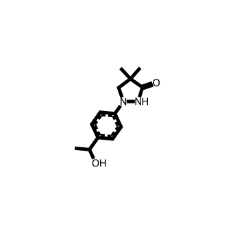 CC(O)c1ccc(N2CC(C)(C)C(=O)N2)cc1